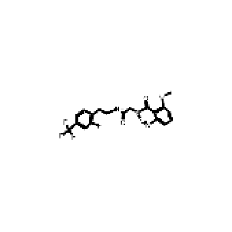 COc1cccc2nnn(CC(=O)NCCc3ccc(C(F)(F)F)cc3F)c(=O)c12